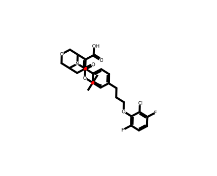 CC(C)(C)OC(=O)N1C2COCC1C(C(=O)O)=C(c1ccc(CCCOc3c(F)ccc(F)c3Cl)cc1)C2